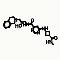 CNC(=O)[C@H]1C[C@@H](Nc2cc(C(=O)NC[C@H](O)CN3CCc4ccccc4C3)ncn2)C1